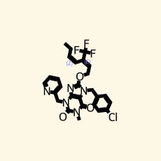 CC/C=C\C(=C/COc1nc2c(c(=O)n(C)c(=O)n2Cc2ccccn2)n1Cc1ccc(Cl)cc1)C(F)(F)F